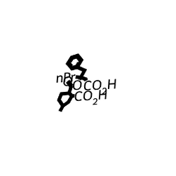 CCCC(CC(=O)O)(Cc1ccccc1)OC(=O)C1CCC(C)CC1C(=O)O